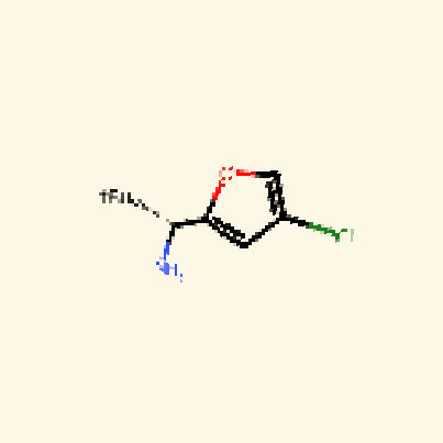 CC(C)(C)[C@@H](N)c1cc(Cl)co1